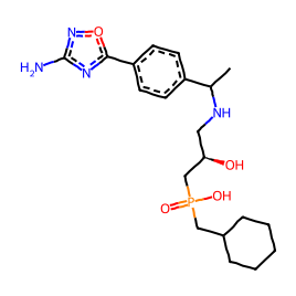 CC(NC[C@@H](O)CP(=O)(O)CC1CCCCC1)c1ccc(-c2nc(N)no2)cc1